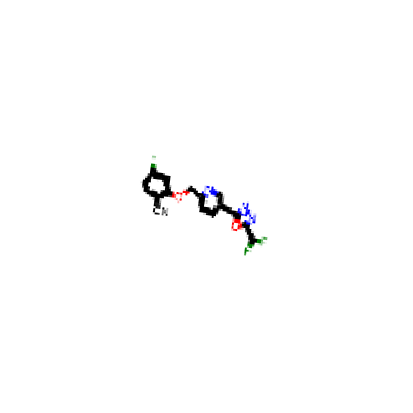 N#Cc1ccc(F)cc1OCc1ccc(-c2nnc(C(F)F)o2)cn1